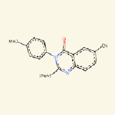 CCCC(C)c1nc2ccc(C#N)cc2c(=O)n1-c1ccc(OC)cc1